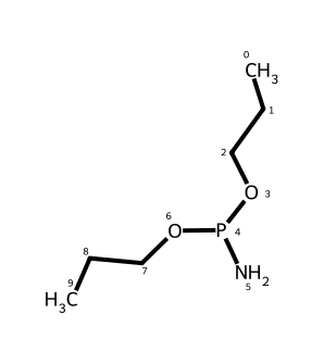 CCCOP(N)OCCC